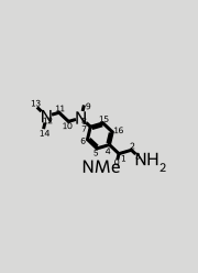 CNC(CN)c1ccc(N(C)CCN(C)C)cc1